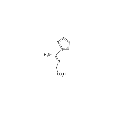 NC(=NCC(=O)O)n1cccn1